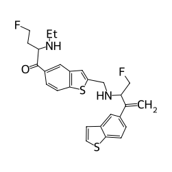 C=C(c1ccc2sccc2c1)C(CF)NCc1cc2cc(C(=O)C(CCF)NCC)ccc2s1